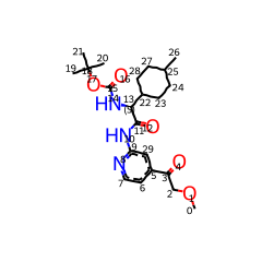 COCC(=O)c1ccnc(NC(=O)[C@@H](NC(=O)OC(C)(C)C)C2CCC(C)CC2)c1